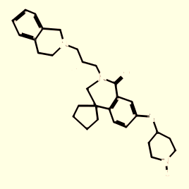 CC(=O)N1CCC(Nc2ccc3c(c2)C(=O)N(C[C@H](O)CN2CCc4ccccc4C2)CC32CCCC2)CC1